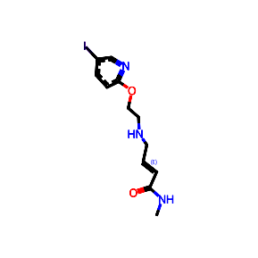 CNC(=O)/C=C/CNCCOc1ccc(I)cn1